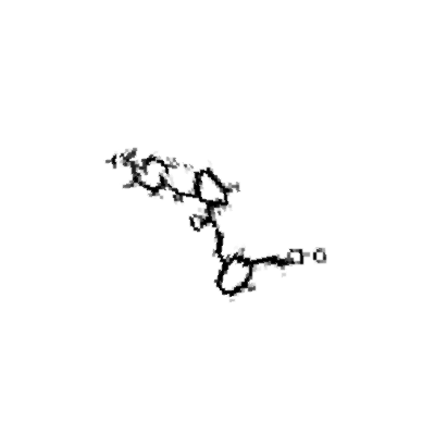 O=[C]/C=C/c1cccc(/C=C/C(=O)c2ccccc2CN2CCN(O)CC2)c1